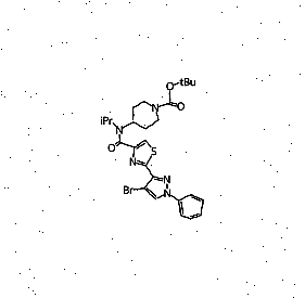 CC(C)N(C(=O)c1csc(-c2nn(-c3ccccc3)cc2Br)n1)C1CCN(C(=O)OC(C)(C)C)CC1